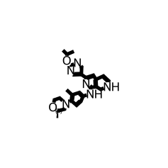 Cc1cc(Nc2nc(-c3cnc(OC(C)C)nc3)cc3c2CNC=C3)ccc1N1CCO[C@H](C)C1